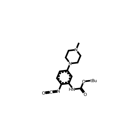 CN1CCN(c2ccc(N=C=O)c(NC(=O)OC(C)(C)C)c2)CC1